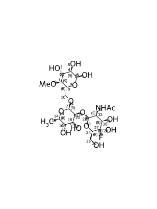 CO[C@H]1[C@H](O)[C@@H](O)[C@@H](O)O[C@@H]1CO[C@@H]1O[C@H](C)[C@@H](O)[C@H](O)[C@@H]1O[C@@H]1O[C@H](CO)[C@](O)(F)[C@H](O)[C@@H]1NC(C)=O